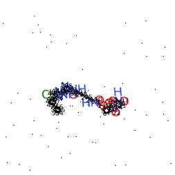 O=C(COc1cccc2c1C(=O)N(C1CCC(=O)NC1=O)C2=O)NCCCCCCCC(=O)Nc1cncc(Nc2ncc(Cl)c(-c3cccc(-c4ccccc4)c3)n2)c1